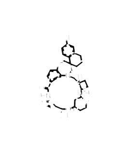 C[C@H]1CS(=O)(=O)NC(=O)c2ccc3c(c2)N(C[C@@H]2CC[C@H]2[C@@H]2C[C@H](CCO2)O1)C[C@@]1(CCCc2cc(Cl)ccc21)CO3